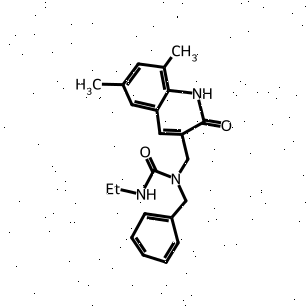 CCNC(=O)N(Cc1ccccc1)Cc1cc2cc(C)cc(C)c2[nH]c1=O